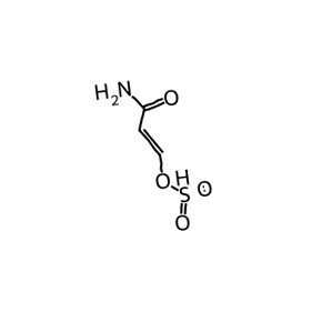 NC(=O)C=CO[SH](=O)=O